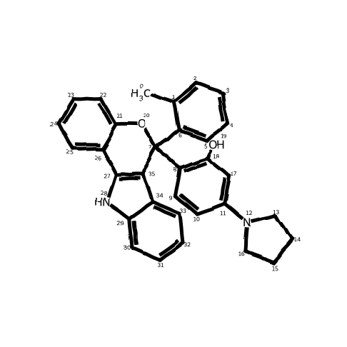 Cc1ccccc1C1(c2ccc(N3CCCC3)cc2O)Oc2ccccc2-c2[nH]c3ccccc3c21